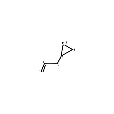 C=CCC1CS1